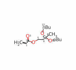 C=CC(=O)OCC[Si](C)(OCCCC)OCCCC